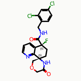 O=C1COC[C@@]2(CC[C@@](F)(C(=O)NCc3ccc(Cl)cc3Cl)c3cccnc32)N1